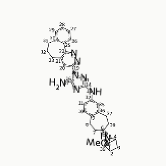 CO[C@H]1C2CC1N([C@@H]1CCc3ccc(Nc4nc(N)n(-c5cc6c(nn5)-c5ccccc5CCC6)n4)cc3CC1)C2